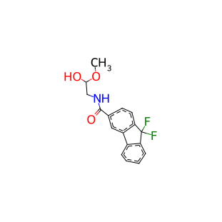 COC(O)CNC(=O)c1ccc2c(c1)-c1ccccc1C2(F)F